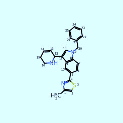 Cc1csc(-c2ccc3c(c2)c(C2C=CCCN2)cn3Cc2ccccc2)n1